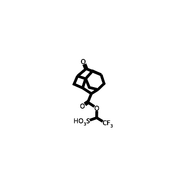 O=C(OC(C(F)(F)F)S(=O)(=O)O)C1C2CC3CC4(C2)C(CC14)C3=O